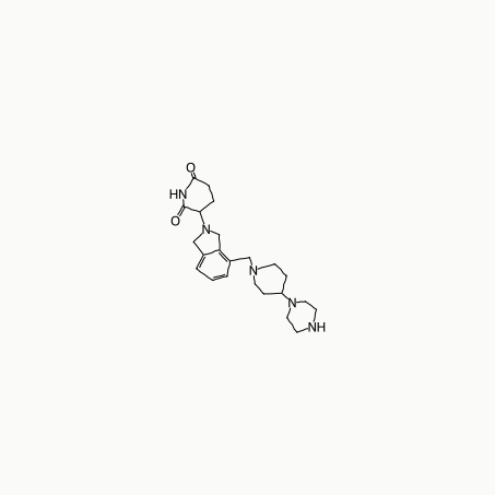 O=C1CCC(N2Cc3cccc(CN4CCC(N5CCNCC5)CC4)c3C2)C(=O)N1